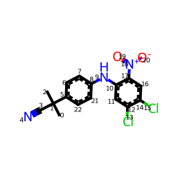 CC(C)(C#N)c1ccc(Nc2cc(Cl)c(Cl)cc2[N+](=O)[O-])cc1